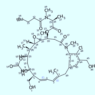 C/C1=C\C=C\[C@@H](CO)[C@@]2(O)C[C@H](OC(=O)N2)[C@@H](C)[C@@H]2O[C@@]2(C)[C@@H](OC(=O)[C@H](C)N(C)C(=O)CCC(C)(C)C)CC(=O)N(C)c2cc(cc(CO)c2Cl)C1